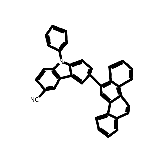 N#Cc1ccc2c(c1)c1cc(-c3cc4c5ccccc5ccc4c4ccccc34)ccc1n2-c1ccccc1